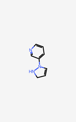 C1=CN(c2cccnc2)NC1